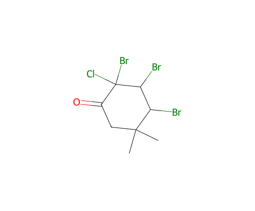 CC1(C)CC(=O)C(Cl)(Br)C(Br)C1Br